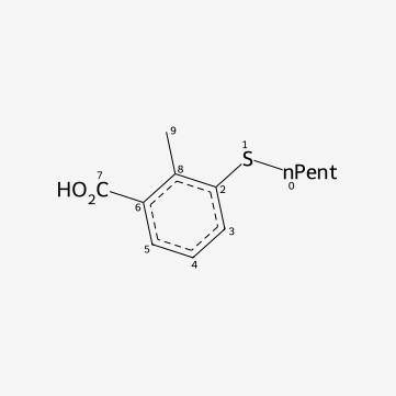 CCCCCSc1cccc(C(=O)O)c1C